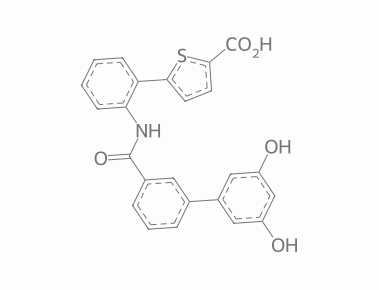 O=C(Nc1ccccc1-c1ccc(C(=O)O)s1)c1cccc(-c2cc(O)cc(O)c2)c1